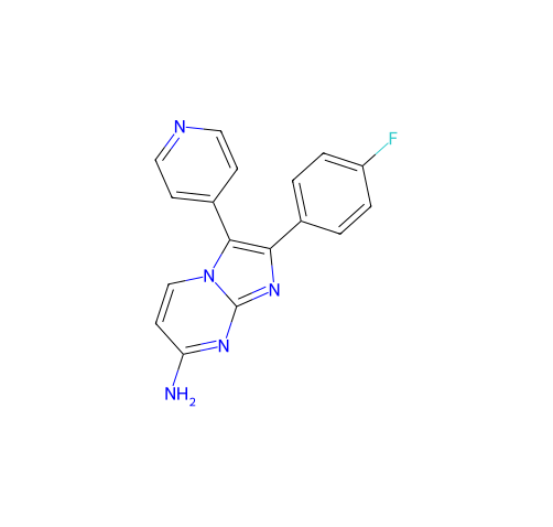 Nc1ccn2c(-c3ccncc3)c(-c3ccc(F)cc3)nc2n1